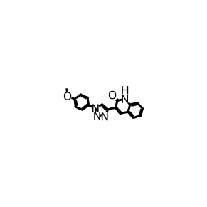 COc1ccc(-n2cc(-c3cc4ccccc4[nH]c3=O)nn2)cc1